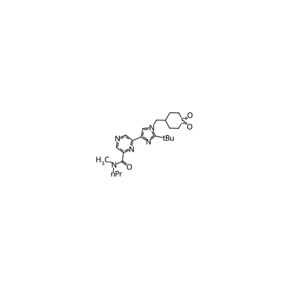 CCCN(C)C(=O)c1cncc(-c2cn(CC3CCS(=O)(=O)CC3)c(C(C)(C)C)n2)n1